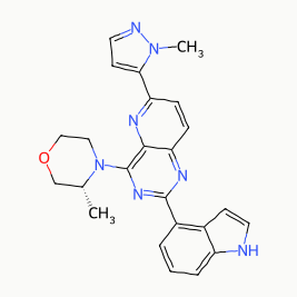 C[C@@H]1COCCN1c1nc(-c2cccc3[nH]ccc23)nc2ccc(-c3ccnn3C)nc12